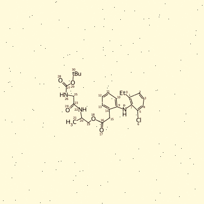 CCc1cccc(Cl)c1Nc1ccccc1CC(=O)OCC(C)NC(=O)CNC(=O)OC(C)(C)C